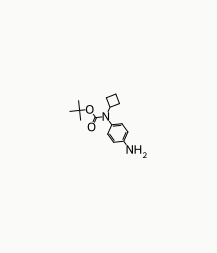 CC(C)(C)OC(=O)N(c1ccc(N)cc1)C1CCC1